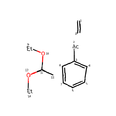 C=C.CC(=O)c1ccccc1.CCOC(C)OCC